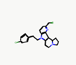 FCc1ccc2c(n1)C1C3CCCN3CCC1N2CCc1ccc(Cl)cc1